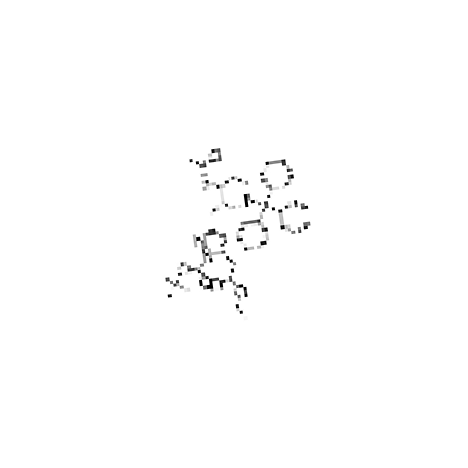 CCOC(=O)Cc1cc(/C=C2\CN(C(c3ccccc3)(c3ccccc3)c3ccccc3)CCC2SC(C)=O)nn1C(=O)OC(C)(C)C